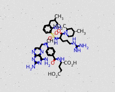 CC1CNc2c(cccc2S(=O)(=O)NC(CCCNC(=N)N)C(=O)N2CC[C@@H](C)C[C@@H]2C(=O)O)C1.CN(Cc1cnc2nc(N)nc(N)c2n1)c1ccc(C(=O)N[C@@H](CCC(=O)O)C(=O)O)cc1